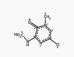 Cn1cc(Cl)nc(NC(=O)O)c1=O